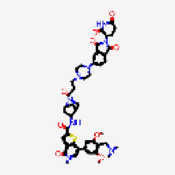 COc1cc(-c2cn(C)c(=O)c3cc(C(=O)NC4CC5CC4CN5C(=O)CCN4CCN(c5ccc6c(c5)C(=O)N(C5CCC(=O)NC5=O)C6=O)CC4)sc23)cc(OC)c1CN(C)C